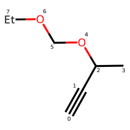 C#CC(C)OCOCC